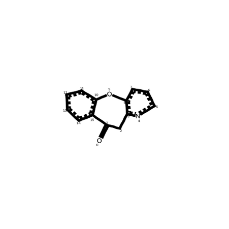 O=C1Cc2ncccc2Oc2ccccc21